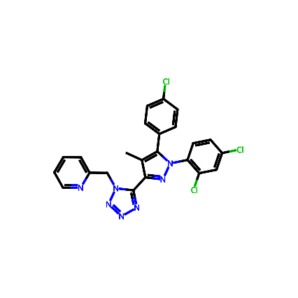 Cc1c(-c2nnnn2Cc2ccccn2)nn(-c2ccc(Cl)cc2Cl)c1-c1ccc(Cl)cc1